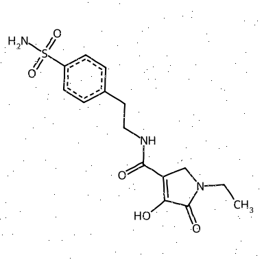 CCN1CC(C(=O)NCCc2ccc(S(N)(=O)=O)cc2)=C(O)C1=O